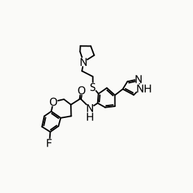 O=C(Nc1ccc(-c2cn[nH]c2)cc1SCCN1CCCC1)C1COc2ccc(F)cc2C1